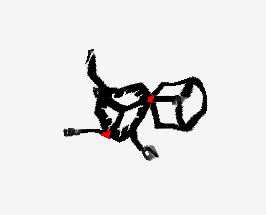 CC(C)(C)OC(=O)N1CC2CC(C1)N2c1cc(F)cnc1C#N